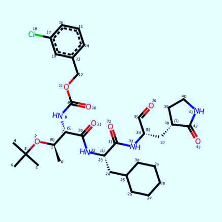 C[C@@H](OC(C)(C)C)[C@H](NC(=O)OCc1cccc(Cl)c1)C(=O)N[C@@H](CC1CCCCC1)C(=O)N[C@H](C=O)C[C@@H]1CCNC1=O